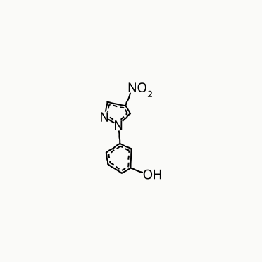 O=[N+]([O-])c1cnn(-c2cccc(O)c2)c1